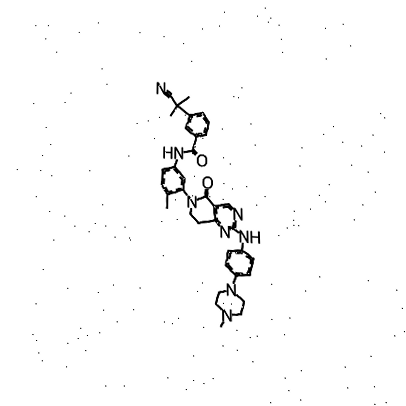 Cc1ccc(NC(=O)c2cccc(C(C)(C)C#N)c2)cc1N1CCc2nc(Nc3ccc(N4CCN(C)CC4)cc3)ncc2C1=O